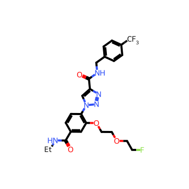 CCNC(=O)c1ccc(-n2cc(C(=O)NCc3ccc(C(F)(F)F)cc3)nn2)c(OCCOCCF)c1